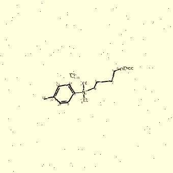 CCCCCCCCCCCCCC[N+](CC)(CC)c1ccc(C)cc1.[Cl-]